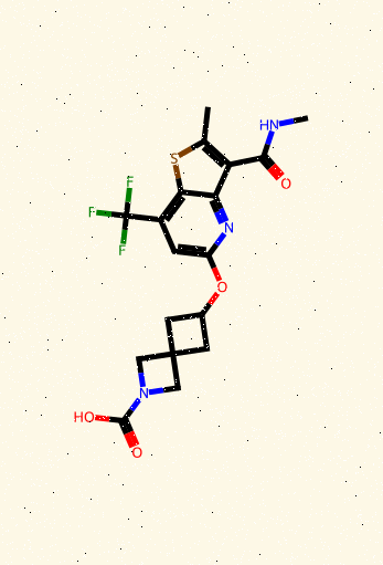 CNC(=O)c1c(C)sc2c(C(F)(F)F)cc(OC3CC4(C3)CN(C(=O)O)C4)nc12